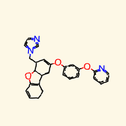 C1=CC2=C(CC1)C1CC(Oc3cccc(Oc4ccccn4)c3)=CC(Cn3ccnc3)C1O2